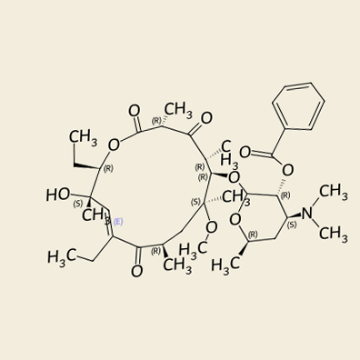 CC/C1=C\[C@](C)(O)[C@@H](CC)OC(=O)[C@H](C)C(=O)[C@H](C)[C@@H](OC2O[C@H](C)C[C@H](N(C)C)[C@H]2OC(=O)c2ccccc2)[C@@](C)(OC)C[C@@H](C)C1=O